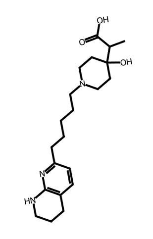 CC(C(=O)O)C1(O)CCN(CCCCCc2ccc3c(n2)NCCC3)CC1